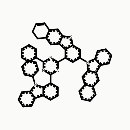 C1=Cc2cc3sc4cc(-n5c6ccccc6c6cc7ccccc7cc65)cc(-c5nc(-c6ccccc6)nc(-c6cccc7c8ccccc8n(-c8ccccc8)c67)n5)c4c3cc2CC1